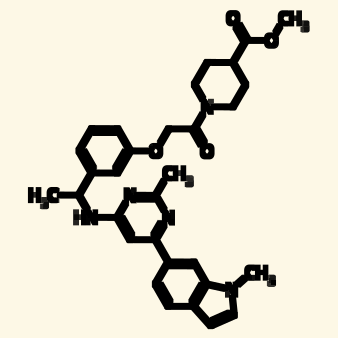 COC(=O)C1CCN(C(=O)COc2cccc(C(C)Nc3cc(-c4ccc5ccn(C)c5c4)nc(C)n3)c2)CC1